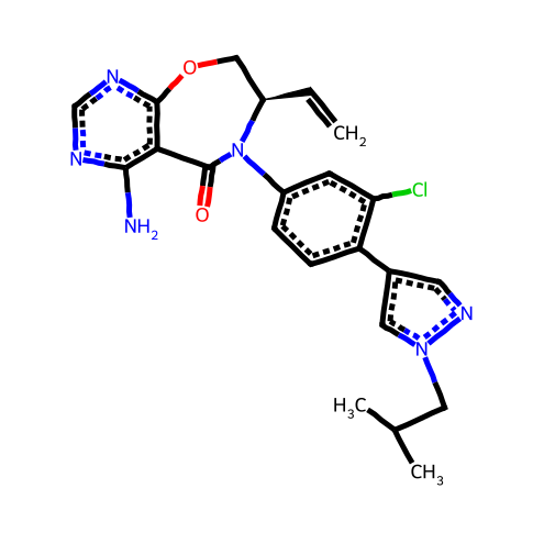 C=C[C@@H]1COc2ncnc(N)c2C(=O)N1c1ccc(-c2cnn(CC(C)C)c2)c(Cl)c1